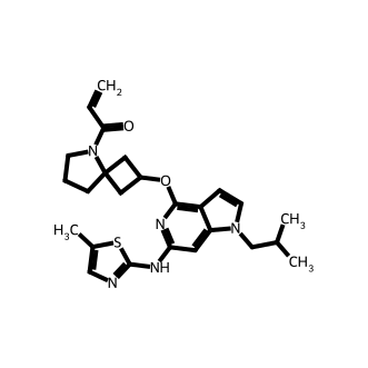 C=CC(=O)N1CCCC12CC(Oc1nc(Nc3ncc(C)s3)cc3c1ccn3CC(C)C)C2